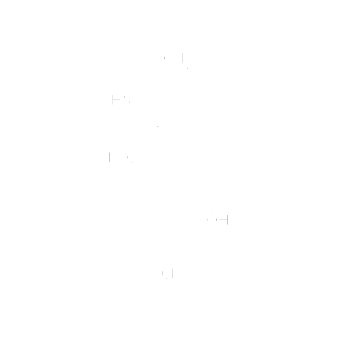 C=CC(C)(S)/C=C(O)\C=C/C